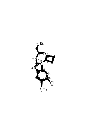 Cc1cc2nc(NC(=O)CC(C)(C)C)n(C3CCC3)c2nc1Cl